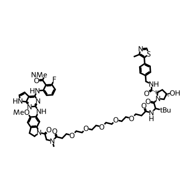 CNC(=O)c1c(F)cccc1Nc1nc(Nc2cc3c(cc2OC)CCN3C(=O)CN(C)C(=O)CCOCCOCCOCCOCCOCCC(=O)NC(C(=O)N2C[C@H](O)C[C@H]2C(=O)NCc2ccc(-c3scnc3C)cc2)C(C)(C)C)nc2[nH]ccc12